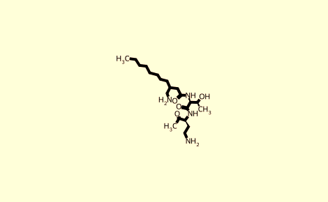 CCCCCCCCC(CN)CC(=O)N[C@H](C(=O)N[C@@H](CCN)C(C)=O)[C@H](C)O